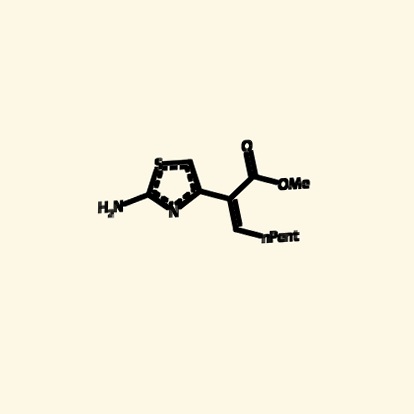 CCCCCC=C(C(=O)OC)c1csc(N)n1